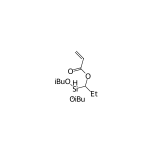 C=CC(=O)OC(CC)[SiH](OCC(C)C)OCC(C)C